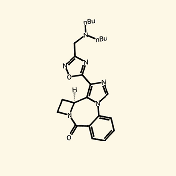 CCCCN(CCCC)Cc1noc(-c2ncn3c2[C@@H]2CCN2C(=O)c2ccccc2-3)n1